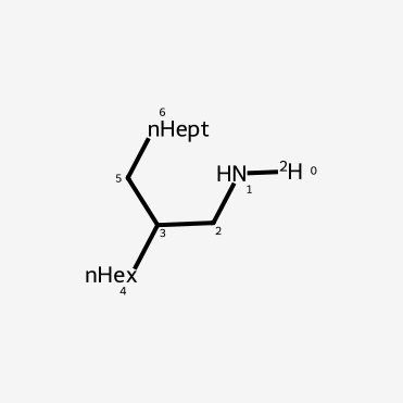 [2H]NCC(CCCCCC)CCCCCCCC